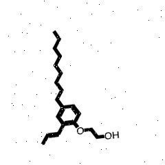 CC=Cc1cc(CCCCCCCCC)ccc1OCCO